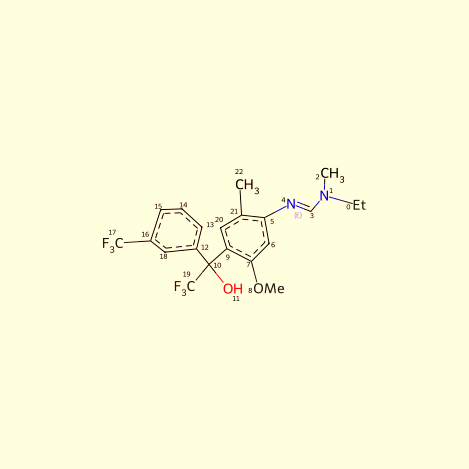 CCN(C)/C=N/c1cc(OC)c(C(O)(c2cccc(C(F)(F)F)c2)C(F)(F)F)cc1C